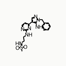 CS(=O)(=O)NCCNc1nccc(-c2cnn(Cc3ccccc3)c2N)n1